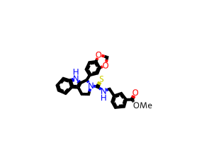 COC(=O)c1cccc(CNC(=S)N2CCc3c([nH]c4ccccc34)C2c2ccc3c(c2)OCO3)c1